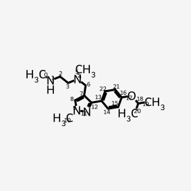 CNCCN(C)Cc1cn(C)nc1-c1ccc(OC(C)C)cc1